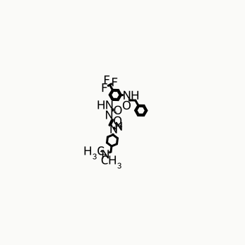 CN(C)CC1CCC([n+]2cc([N-]C(=O)Nc3cc(NC(=O)Cc4ccccc4)cc(C(F)(F)F)c3)on2)CC1